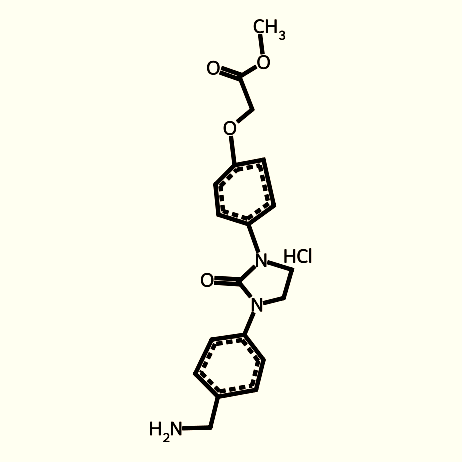 COC(=O)COc1ccc(N2CCN(c3ccc(CN)cc3)C2=O)cc1.Cl